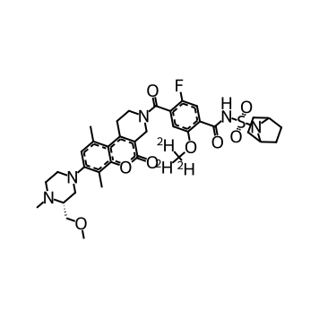 [2H]C([2H])([2H])Oc1cc(C(=O)N2CCc3c(c(=O)oc4c(C)c(N5CCN(C)[C@@H](COC)C5)cc(C)c34)C2)c(F)cc1C(=O)NS(=O)(=O)N1C2CCC1CC2